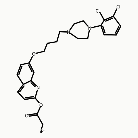 CC(C)CC(=O)Oc1ccc2ccc(OCCCCN3CCN(c4cccc(Cl)c4Cl)CC3)cc2n1